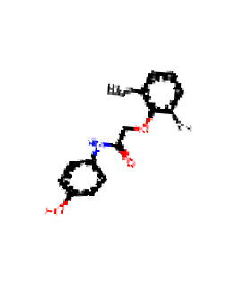 CC(C)(C)c1cccc(C#N)c1OCC(=O)Nc1ccc(O)cc1